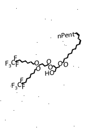 CCCCC/C=C\C/C=C\CCCCCCCC(=O)OCC(CO)COC(=O)CCC(OCCCCCCC(F)(F)C(F)(F)F)OCCCCCCC(F)(F)C(F)(F)F